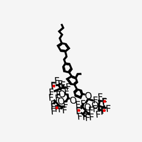 CCCCCc1ccc(CCc2ccc(-c3ccc(-c4cc(OC(COC(C(F)(F)F)(C(F)(F)F)C(F)(F)F)COC(C(F)(F)F)(C(F)(F)F)C(F)(F)F)cc(OC(COC(C(F)(F)F)(C(F)(F)F)C(F)(F)F)COC(C(F)(F)F)(C(F)(F)F)C(F)(F)F)c4)cc3CC)cc2)cc1